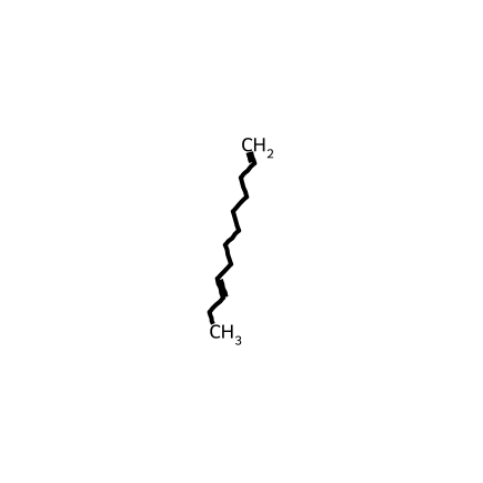 C=CCCCCCCC=CCC